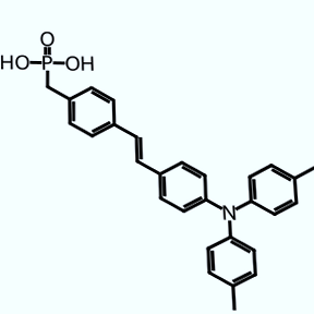 Cc1ccc(N(c2ccc(C)cc2)c2ccc(C=Cc3ccc(CP(=O)(O)O)cc3)cc2)cc1